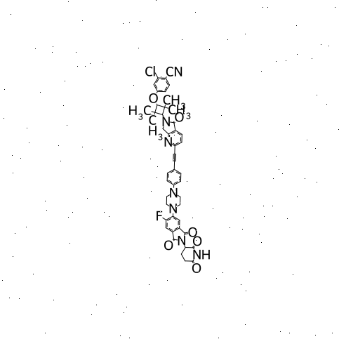 CC1(C)[C@H](Oc2ccc(C#N)c(Cl)c2)C(C)(C)[C@H]1N1Cc2nc(C#Cc3ccc(N4CCN(c5cc6c(cc5F)C(=O)N(C5CCC(=O)NC5=O)C6=O)CC4)cc3)ccc2C1=O